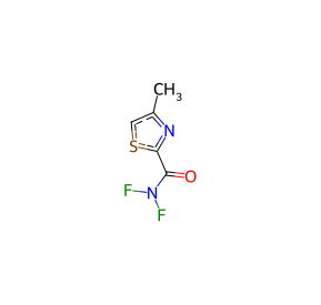 Cc1csc(C(=O)N(F)F)n1